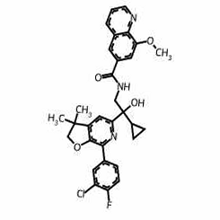 COc1cc(C(=O)NCC(O)(c2cc3c(c(-c4ccc(F)c(Cl)c4)n2)OCC3(C)C)C2CC2)cc2cccnc12